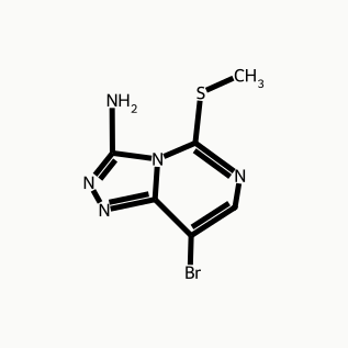 CSc1ncc(Br)c2nnc(N)n12